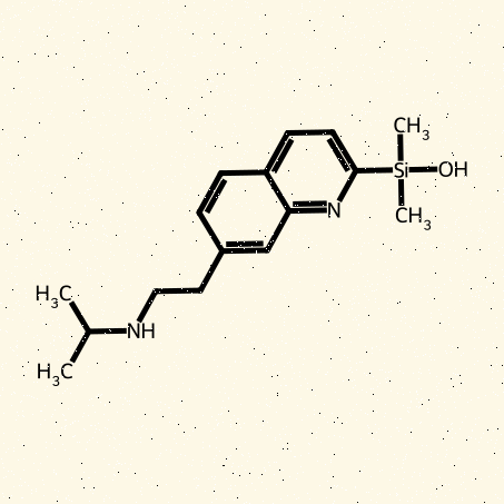 CC(C)NCCc1ccc2ccc([Si](C)(C)O)nc2c1